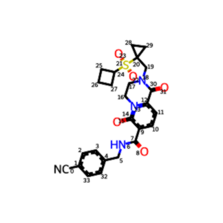 N#Cc1ccc(CNC(=O)c2ccc3n(c2=O)CCN(CC2(S(=O)(=O)C4CCC4)CC2)C3=O)cc1